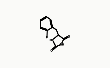 O=C1NC(=O)C(Cc2ccccc2F)N1